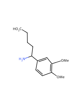 COc1ccc(C(N)CCCC(=O)O)cc1OC